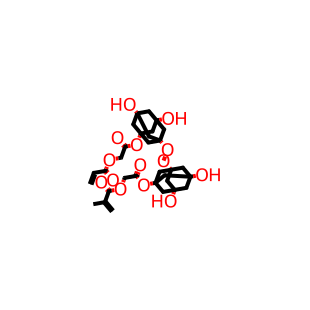 C=CC(=O)OCC(=O)OC12CC3(O)CC(O)(CC(OOC45CC6(O)CC(O)(C4)CC(OC(=O)COC(=O)C(=C)C)(C6)C5)(C3)C1)C2